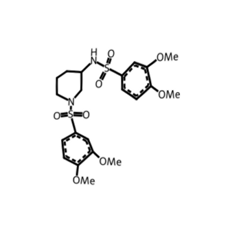 COc1ccc(S(=O)(=O)NC2CCCN(S(=O)(=O)c3ccc(OC)c(OC)c3)C2)cc1OC